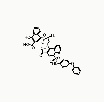 CN(COc1c(C(=O)O)cc(S(=O)(=O)Nc2ccc(Oc3ccccc3)cc2)c2ccccc12)S(=O)(=O)c1cc(C(=O)O)c(O)c2ccccc12